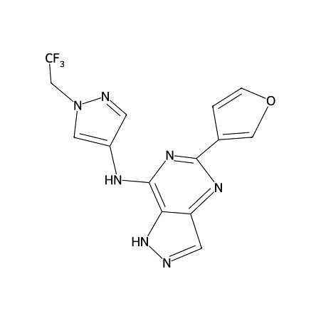 FC(F)(F)Cn1cc(Nc2nc(-c3ccoc3)nc3cn[nH]c23)cn1